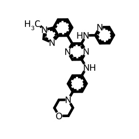 Cn1cnc2c(-c3ncc(Nc4ccc(N5CCOCC5)cc4)nc3Nc3ccccn3)cccc21